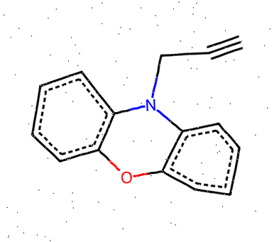 C#CCN1c2ccccc2Oc2ccccc21